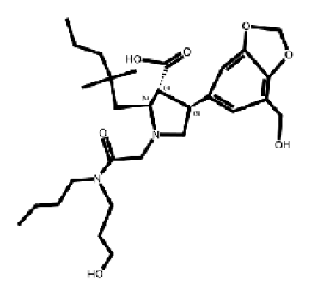 CCCCN(CCCO)C(=O)CN1C[C@H](c2cc(CO)c3c(c2)OCO3)[C@@H](C(=O)O)[C@@H]1CC(C)(C)CCC